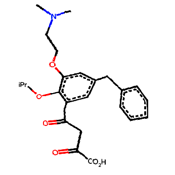 CC(C)Oc1c(OCCN(C)C)cc(Cc2ccccc2)cc1C(=O)CC(=O)C(=O)O